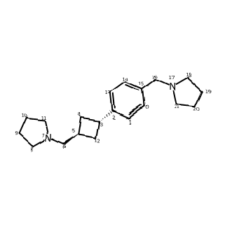 c1cc([C@H]2C[C@H](CN3CCCC3)C2)ccc1CN1CCCC1